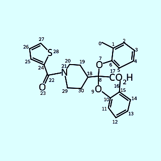 Cc1ccccc1OC(Oc1ccccc1C)(C(=O)O)C1CCN(C(=O)c2cccs2)CC1